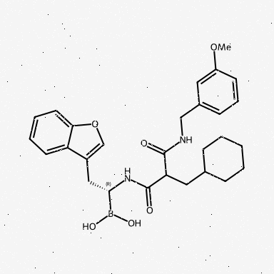 COc1cccc(CNC(=O)C(CC2CCCCC2)C(=O)N[C@@H](Cc2coc3ccccc23)B(O)O)c1